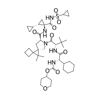 CC(C)(C)[C@H](NC(=O)[C@@H](NC(=O)OC1CCOCC1)C1CCCCC1)C(=O)N1C[C@]2(C[C@H]1C(=O)N[C@]1(C(=O)NS(=O)(=O)C3CC3)C[C@H]1C1CC1)C(C)(C)C21CCC1